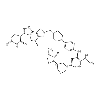 CN1CCN([C@@H]2CCCN(c3cnc(C(N)O)c(Nc4ccc(N5CCC(CN6Cc7c(F)cc8c(C9CCC(=O)NC9=O)noc8c7C6)CC5)cc4)n3)C2)C1=O